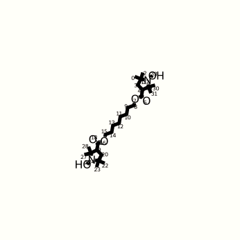 CC1(C)CC(C(=O)OCCCCCCCCOC(=O)C2CC(C)(C)N(O)C2(C)C)C(C)(C)N1O